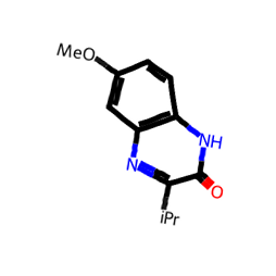 COc1ccc2[nH]c(=O)c(C(C)C)nc2c1